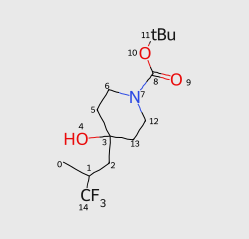 CC(CC1(O)CCN(C(=O)OC(C)(C)C)CC1)C(F)(F)F